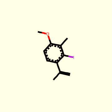 C=C(C)c1ccc(OC)c(C)c1I